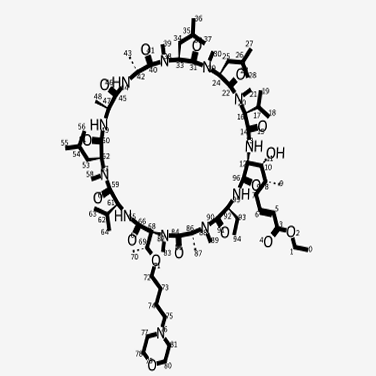 CCOC(=O)/C=C/C[C@@H](C)[C@@H](O)[C@@H]1NC(=O)[C@H](C(C)C)N(C)C(=O)[C@H](CC(C)C)N(C)C(=O)[C@H](CC(C)C)N(C)C(=O)[C@@H](C)NC(=O)[C@H](C)NC(=O)[C@H](CC(C)C)N(C)C(=O)[C@H](C(C)C)NC(=O)[C@H]([C@@H](C)OCCCCN2CCOCC2)N(C)C(=O)[C@@H](C)N(C)C(=O)[C@H](CC)NC1=O